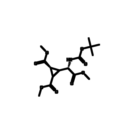 COC(=O)C1C([C@H](NC(=O)OC(C)(C)C)C(=O)OC)[C@@H]1C(=O)OC